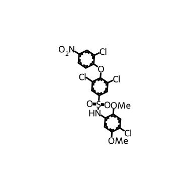 COc1cc(NS(=O)(=O)c2cc(Cl)c(Oc3ccc([N+](=O)[O-])cc3Cl)c(Cl)c2)c(OC)cc1Cl